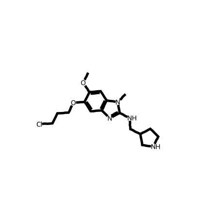 COc1cc2c(cc1OCCCCl)nc(NCC1CCNC1)n2C